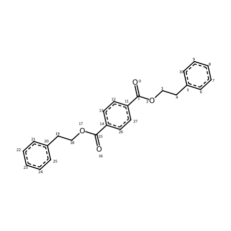 O=C(OCCc1ccccc1)c1ccc(C(=O)OCCc2ccccc2)cc1